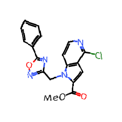 COC(=O)c1cc2c(Cl)nccc2n1Cc1noc(-c2ccccc2)n1